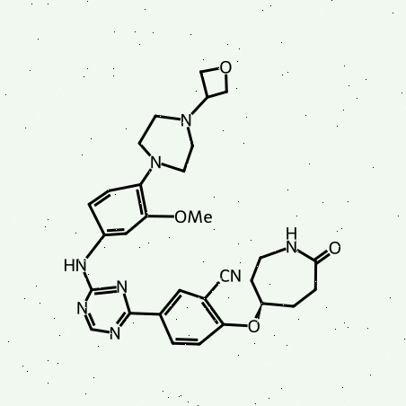 COc1cc(Nc2ncnc(-c3ccc(O[C@H]4CCNC(=O)CC4)c(C#N)c3)n2)ccc1N1CCN(C2COC2)CC1